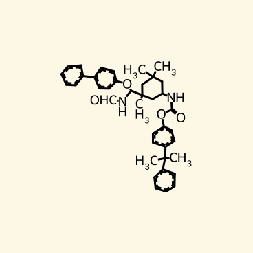 CC1(C)CC(NC(=O)Oc2ccc(C(C)(C)c3ccccc3)cc2)CC(C)(C(NC=O)Oc2ccc(-c3ccccc3)cc2)C1